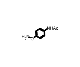 CC(=O)Nc1ccc(ON)cc1